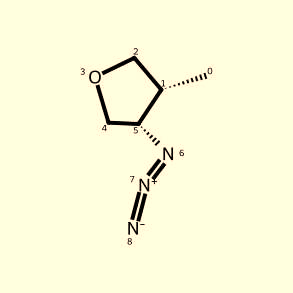 C[C@H]1COC[C@H]1N=[N+]=[N-]